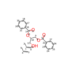 C=CC.C=CC.O=C(OCC(CO)OC(=O)c1ccccc1)c1ccccc1